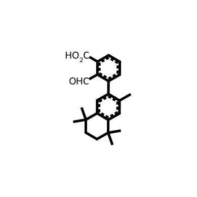 Cc1cc2c(cc1-c1cccc(C(=O)O)c1C=O)C(C)(C)CCC2(C)C